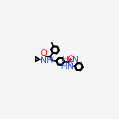 Cc1cccc(/C(=C\c2ccc(C(=O)Nc3ccccc3N)cc2)C(=O)NC2CC2)c1